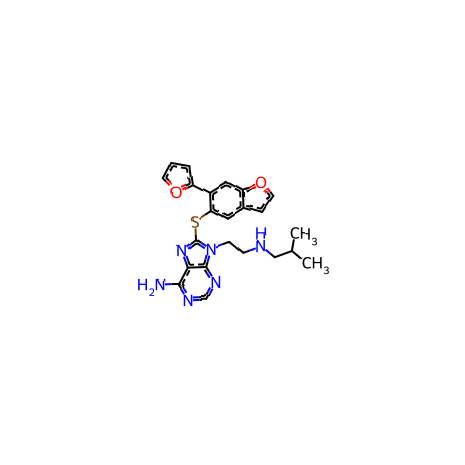 CC(C)CNCCn1c(Sc2cc3ccoc3cc2-c2ccco2)nc2c(N)ncnc21